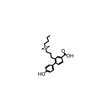 CCCC[Si](C)(C)CCCc1cc(C(=O)O)ccc1-c1ccc(O)cc1